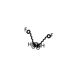 O=S(=O)(CS(=O)(=O)NCCCCCCCc1ccc(F)cc1)NCCCCCCCc1ccc(F)cc1